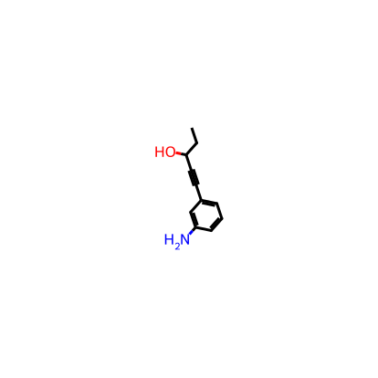 CCC(O)C#Cc1cccc(N)c1